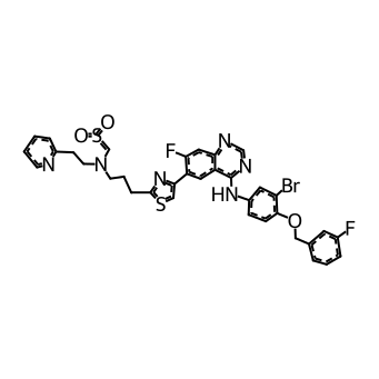 O=S(=O)=CN(CCCc1nc(-c2cc3c(Nc4ccc(OCc5cccc(F)c5)c(Br)c4)ncnc3cc2F)cs1)CCc1ccccn1